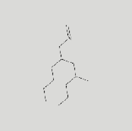 C=NCC(CCCC)CC(C)CCC